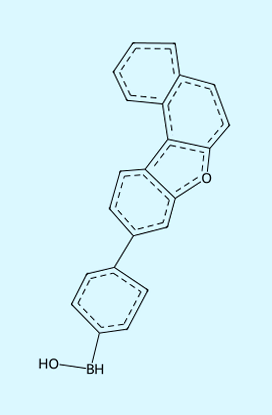 OBc1ccc(-c2ccc3c(c2)oc2ccc4ccccc4c23)cc1